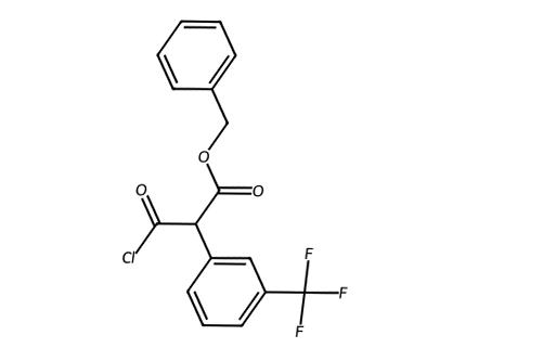 O=C(Cl)C(C(=O)OCc1ccccc1)c1cccc(C(F)(F)F)c1